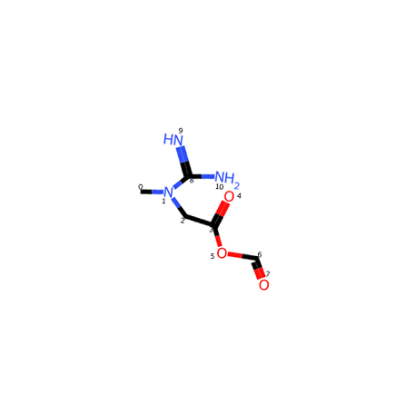 CN(CC(=O)OC=O)C(=N)N